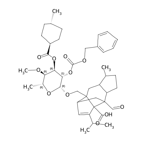 CO[C@H]1[C@@H](OC(=O)[C@H]2CC[C@H](C)CC2)[C@H](OC(=O)OCc2ccccc2)[C@H](OCC23CC4C(C)CCC4C4(C=O)CC2C=C(C(C)C)C43C(=O)O)O[C@@H]1C